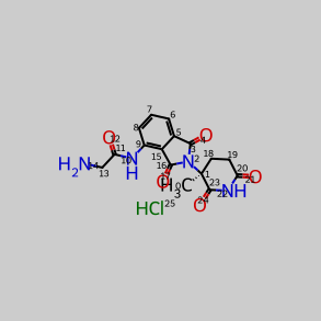 C[C@]1(N2C(=O)c3cccc(NC(=O)CN)c3C2=O)CCC(=O)NC1=O.Cl